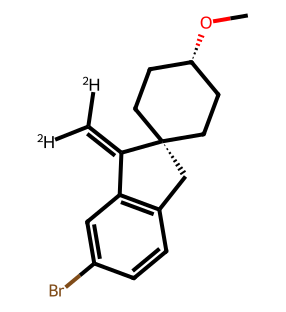 [2H]C([2H])=C1c2cc(Br)ccc2C[C@]12CC[C@@H](OC)CC2